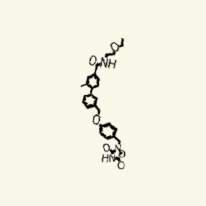 CCOCCNC(=O)c1ccc(-c2cccc(COc3ccc(Cn4oc(=O)[nH]c4=O)cc3)c2)c(C)c1